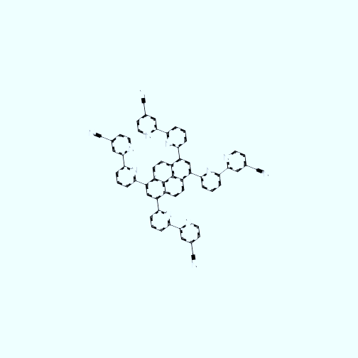 N#Cc1ccnc(-c2cccc(-c3cc(-c4cccc(-c5cc(C#N)ccn5)n4)c4ccc5c(-c6cccc(-c7cc(C#N)ccn7)n6)cc(-c6cccc(-c7cc(C#N)ccn7)n6)c6ccc3c4c65)n2)c1